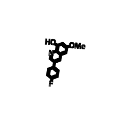 COc1cc(O)c2ncc(-c3ccc(F)cc3)cc2c1